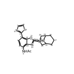 CC(=O)Nc1ccc(-c2nccs2)c2oc(N3CC4CCCC(C3)N4C(=O)O)nc12